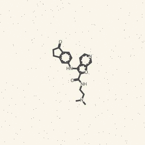 CN(C)CCNC(=O)c1oc2cnccc2c1Nc1ccc2c(c1)CCC2=O